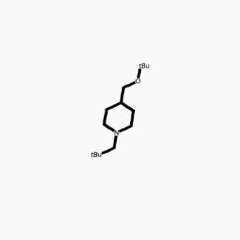 CC(C)(C)CN1CCC(COC(C)(C)C)CC1